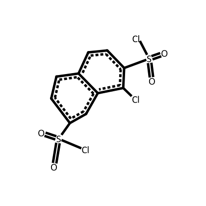 O=S(=O)(Cl)c1ccc2ccc(S(=O)(=O)Cl)c(Cl)c2c1